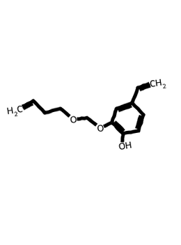 C=CCCOCOc1cc(C=C)ccc1O